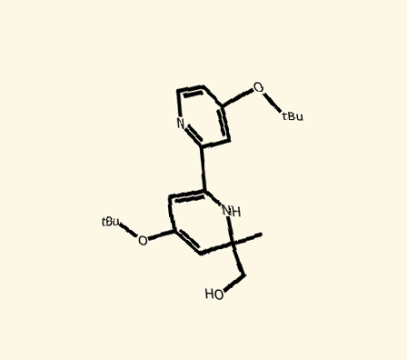 CC1(CO)C=C(OC(C)(C)C)C=C(c2cc(OC(C)(C)C)ccn2)N1